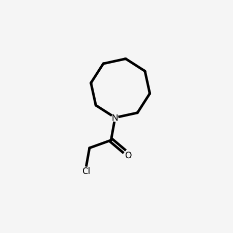 O=C(CCl)N1CCCCCCC1